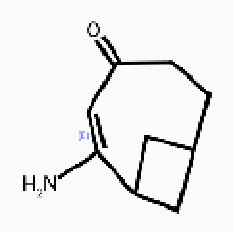 N/C1=C/C(=O)CCC2CC1C2